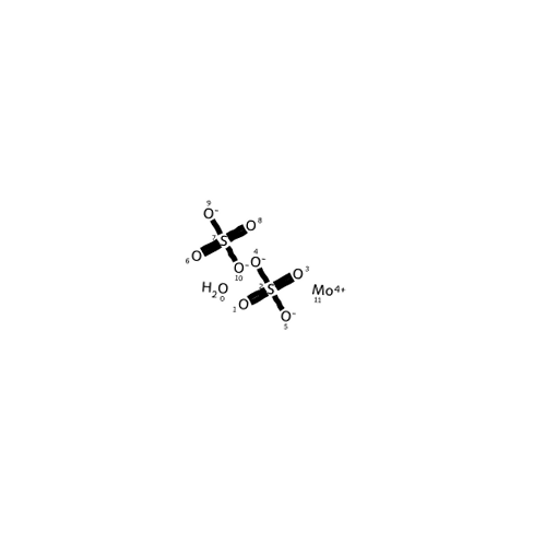 O.O=S(=O)([O-])[O-].O=S(=O)([O-])[O-].[Mo+4]